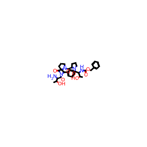 CC(O)C(N)C(=O)N1C(=O)C2(CCCN2C(=O)C2CCCN2C(=O)C(NC(=O)OCc2ccccc2)C(C)O)C1c1ccccc1